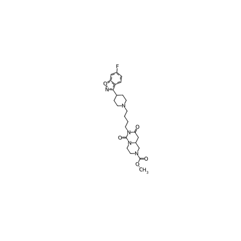 COC(=O)N1CCN2C(=O)N(CCCCN3CCC(c4noc5cc(F)ccc45)CC3)C(=O)CC2C1